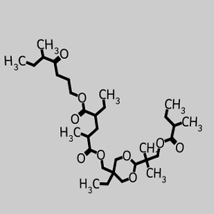 CCC(C)C(=O)CCCOC(=O)C(CC)CC(C)C(=O)OCC1(CC)COC(C(C)(C)COC(=O)C(C)CC)OC1